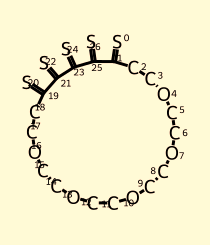 S=C1CCOCCOCCOCCOCCOCCC(=S)C(=S)C(=S)C1=S